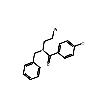 CC(C)CCN(Cc1ccccc1)C(=O)c1ccc(Cl)cc1